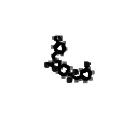 N#Cc1cccc(CN2CC3(CCN(S(=O)(=O)Cc4cccc(Br)c4)CC3)OC2=O)c1